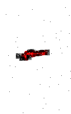 Nc1nc(OCc2ccc(CNC(=O)COc3c(F)c(F)c(OCCOCCOCCCOCCOCCCCCCCl)c(F)c3F)cc2)c2nc[nH]c2n1